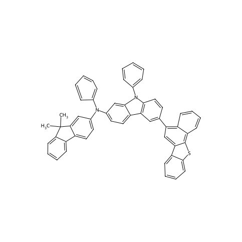 CC1(C)c2ccccc2-c2ccc(N(c3ccccc3)c3ccc4c5cc(-c6cc7c8ccccc8sc7c7ccccc67)ccc5n(-c5ccccc5)c4c3)cc21